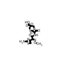 CON=C(C(=O)NC1C(=O)N2CC(Cl)(C(=O)O)CS[C@H]12)c1csc(N)n1